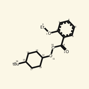 CCOc1ccccc1C(=O)OO[C]1CCC(C(C)(C)C)CC1